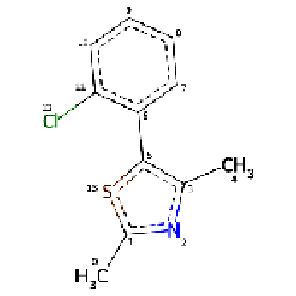 Cc1nc(C)c(-c2ccccc2Cl)s1